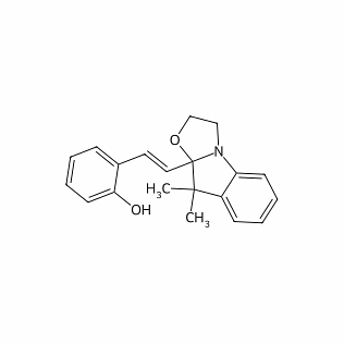 CC1(C)c2ccccc2N2CCOC21C=Cc1ccccc1O